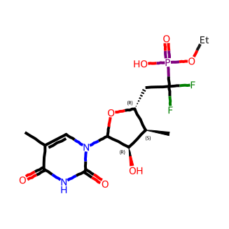 CCOP(=O)(O)C(F)(F)C[C@H]1OC(n2cc(C)c(=O)[nH]c2=O)[C@H](O)[C@@H]1C